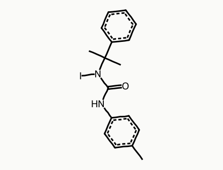 Cc1ccc(NC(=O)N(I)C(C)(C)c2ccccc2)cc1